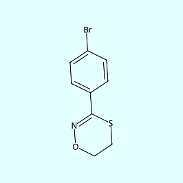 Brc1ccc(C2=NOCCS2)cc1